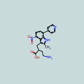 Cc1[nH]c2c(-c3ccncc3)ccc([N+](=O)[O-])c2c1CC(CCN)C(=O)O